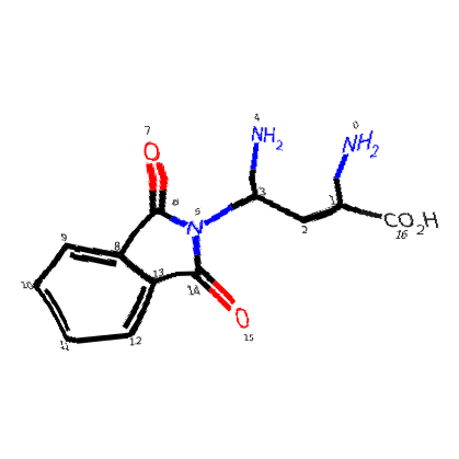 NC(CC(N)N1C(=O)c2ccccc2C1=O)C(=O)O